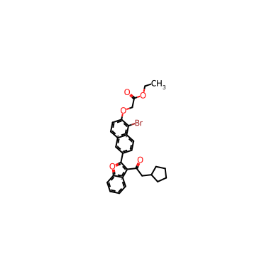 CCOC(=O)COc1ccc2cc(-c3oc4ccccc4c3C(=O)CC3CCCC3)ccc2c1Br